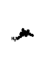 CCCCOC(=O)c1cn(CC)c2ccc(CCCN)cc2c1=O